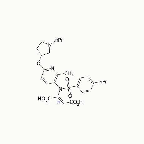 CCCN1CCC(Oc2ccc(N(/C(=C\C(=O)O)C(=O)O)S(=O)(=O)c3ccc(C(C)C)cc3)c(C)n2)C1